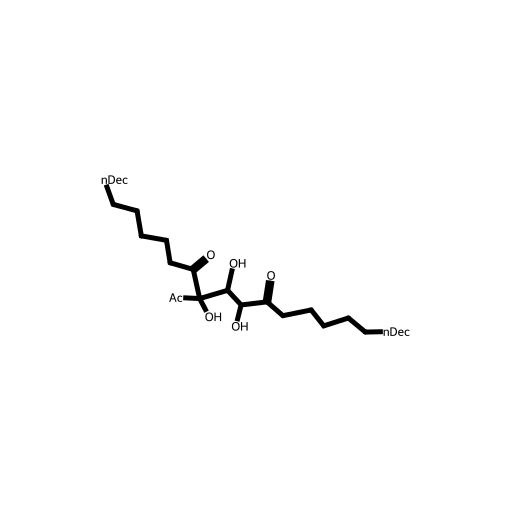 CCCCCCCCCCCCCCCC(=O)C(O)C(O)C(O)(C(C)=O)C(=O)CCCCCCCCCCCCCCC